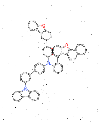 c1cc(-c2ccc(N(c3ccc(-c4ccc5oc6ccccc6c5c4)cc3)c3ccccc3-c3cccc4oc5c6ccccc6ccc5c34)cc2)cc(-n2c3ccccc3c3ccccc32)c1